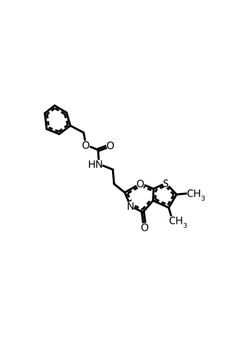 Cc1sc2oc(CCNC(=O)OCc3ccccc3)nc(=O)c2c1C